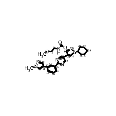 COCCNC(=O)O.Cn1cc(-c2cccc(-c3ncc(-c4cnn(C5CCCCC5)c4)cn3)c2)cn1